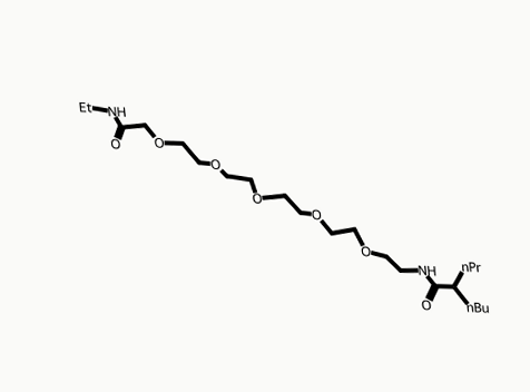 CCCCC(CCC)C(=O)NCCOCCOCCOCCOCCOCC(=O)NCC